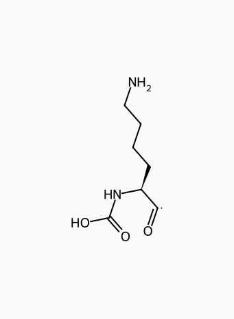 NCCCC[C@@H]([C]=O)NC(=O)O